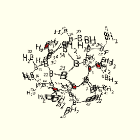 BB(B)B(B(B)B)B(B(B)B(B)F)B(B(B(B)B)B(B)B)B(B(B(B(B)B)B(B)B)B(B(B)B)B(B)B)B(B(B(B)B)B(B)B)B(B(B)B)B(B)B